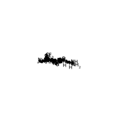 C[C@H](N)CCCc1cc(OC(F)(F)F)c(F)c(-c2cc3cn(-c4ccc(C(=O)NCCCNC(=N)N)cc4)c(=O)nc3[nH]2)c1